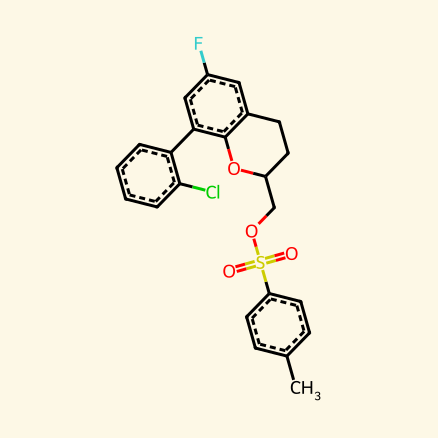 Cc1ccc(S(=O)(=O)OCC2CCc3cc(F)cc(-c4ccccc4Cl)c3O2)cc1